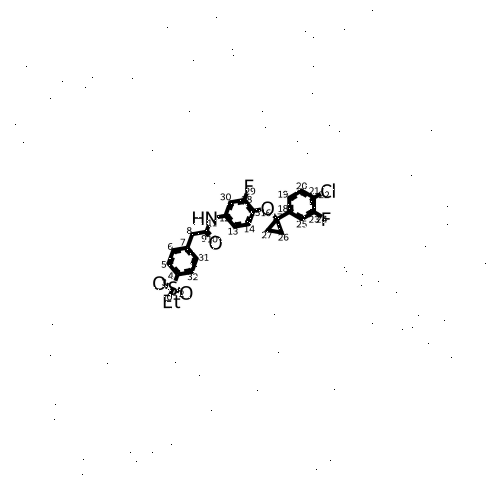 CCS(=O)(=O)c1ccc(CC(=O)Nc2ccc(OC3(c4ccc(Cl)c(F)c4)CC3)c(F)c2)cc1